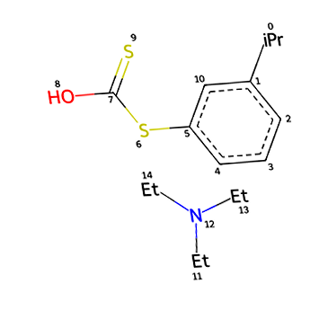 CC(C)c1cccc(SC(O)=S)c1.CCN(CC)CC